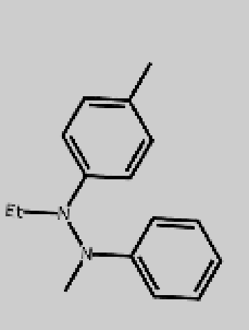 CCN(c1ccc(C)cc1)N(C)c1ccccc1